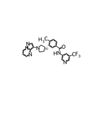 Cc1ccc(C(=O)Nc2cncc(C(F)(F)F)c2)cc1[C@@H]1CCN(c2cnn3cccnc23)C1